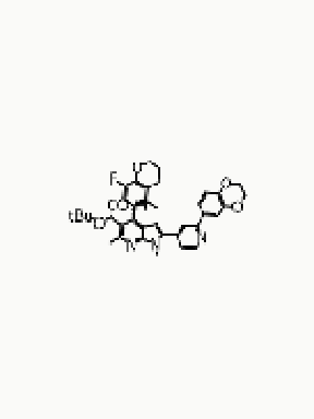 Cc1nc2c(cc(-c3ccnc(-c4ccc5c(c4)OCCO5)c3)n2C)c(-c2cc(F)c3c(c2C)CCCO3)c1[C@H](OC(C)(C)C)C(=O)O